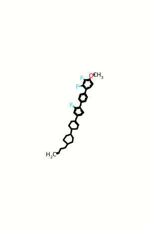 C=CCCC1CCC(C2CC=C(c3ccc(-c4ccc(-c5ccc(OC)c(F)c5F)cc4)c(F)c3)CC2)CC1